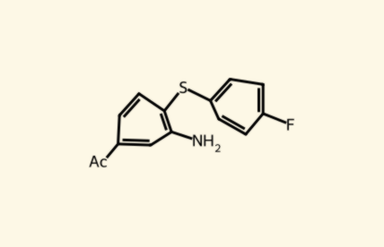 CC(=O)c1ccc(Sc2ccc(F)cc2)c(N)c1